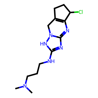 CN(C)CCCNC1=NC2=NC3=C(CCC3Cl)CN2N1